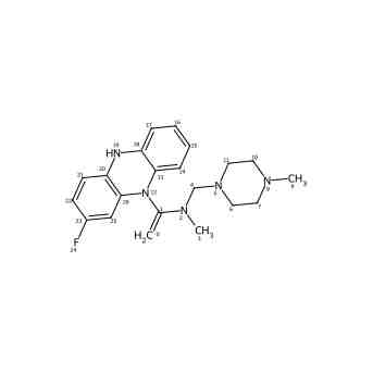 C=C(N(C)CN1CCN(C)CC1)N1c2ccccc2Nc2ccc(F)cc21